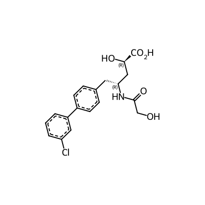 O=C(CO)N[C@H](Cc1ccc(-c2cccc(Cl)c2)cc1)C[C@@H](O)C(=O)O